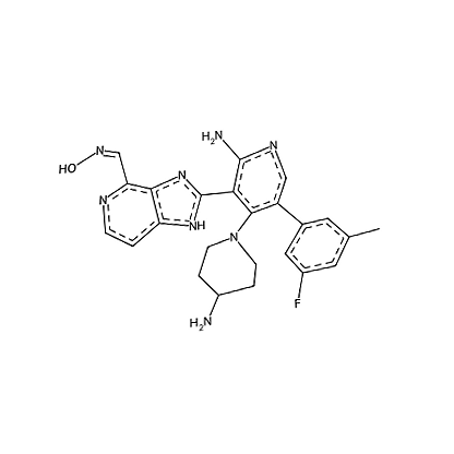 Cc1cc(F)cc(-c2cnc(N)c(-c3nc4c(/C=N\O)nccc4[nH]3)c2N2CCC(N)CC2)c1